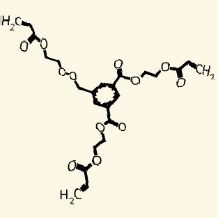 C=CC(=O)OCCOOCc1cc(C(=O)OCCOC(=O)C=C)cc(C(=O)OCCOC(=O)C=C)c1